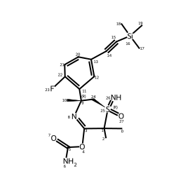 CC1(C)C(OC(N)=O)=N[C@](C)(c2cc(C#C[Si](C)(C)C)ccc2F)C[S@@]1(=N)=O